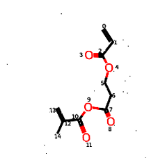 C=CC(=O)OCCC(=O)OC(=O)C(=C)C